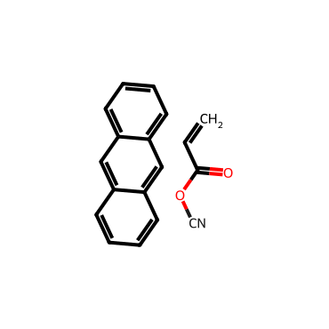 C=CC(=O)OC#N.c1ccc2cc3ccccc3cc2c1